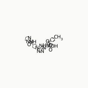 Cc1ccc(S(=O)(=O)N[C@@H](Cn2cnc3c(N4CCC(C(=O)NC5=NCCCN5)CC4)ncnc32)C(=O)O)cc1